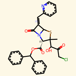 CC1(C(O)C(=O)CCl)SC2/C(=C\c3ccccn3)C(=O)N2[C@H]1C(=O)OC(c1ccccc1)c1ccccc1